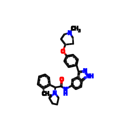 Cc1ccccc1C(C(=O)Nc1ccc2[nH]nc(-c3ccc(OC4CCN(C)CC4)cc3)c2c1)N1CCCC1